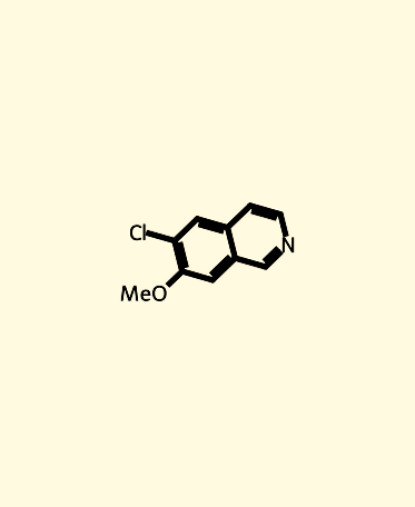 COc1cc2cnccc2cc1Cl